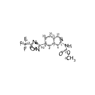 COC(=O)Nc1cc2cc(-c3noc(C(F)(F)F)n3)ccc2cn1